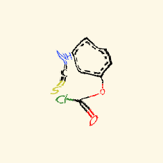 N=C=S.O=C(Cl)Oc1ccccc1